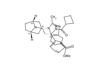 COC(=O)N1CCc2c(nc(C)n2[C@H]2C[C@H]3CC[C@@H](C2)N3CC[C@H](NC(=O)C2CCC2)c2ccccc2)C1